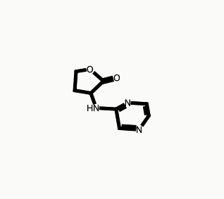 O=C1OCCC1Nc1cnccn1